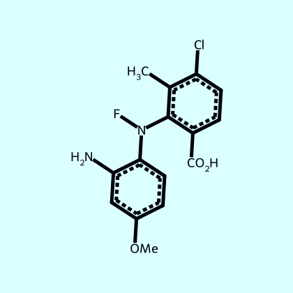 COc1ccc(N(F)c2c(C(=O)O)ccc(Cl)c2C)c(N)c1